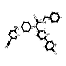 N#Cc1ccc(N[C@H]2CC[C@H](N(C(=O)NCc3ccccc3)c3ccc(-c4ccc(=O)[nH]c4)nn3)CC2)nc1